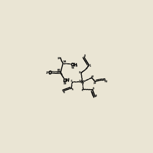 C=CC[N+](CC=C)(CC=C)CC=C.CC(O)C(=O)O